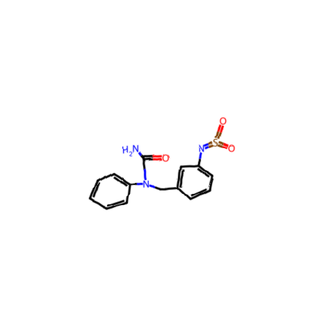 NC(=O)N(Cc1cccc(N=S(=O)=O)c1)c1ccccc1